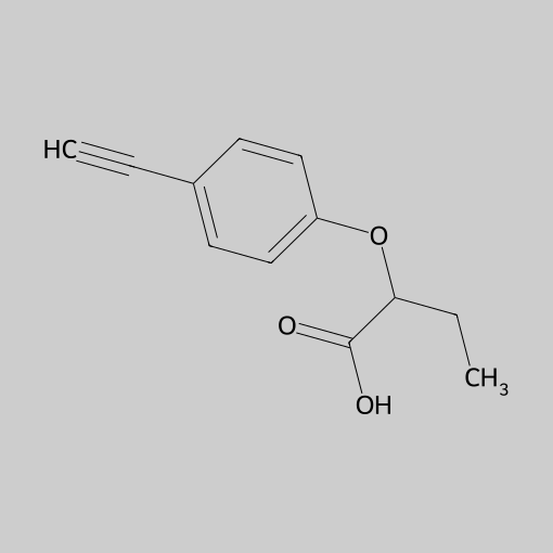 C#Cc1ccc(OC(CC)C(=O)O)cc1